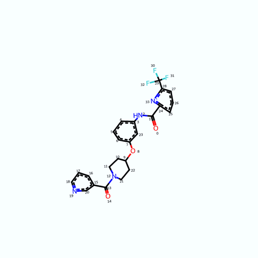 O=C(Nc1cccc(OC2CCN(C(=O)c3cccnc3)CC2)c1)c1cccc(C(F)(F)F)n1